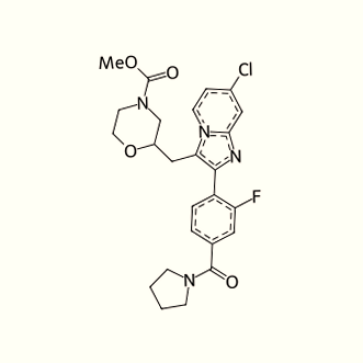 COC(=O)N1CCOC(Cc2c(-c3ccc(C(=O)N4CCCC4)cc3F)nc3cc(Cl)ccn23)C1